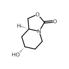 O=C1OC[C@@H]2C[C@@H](O)CCN12